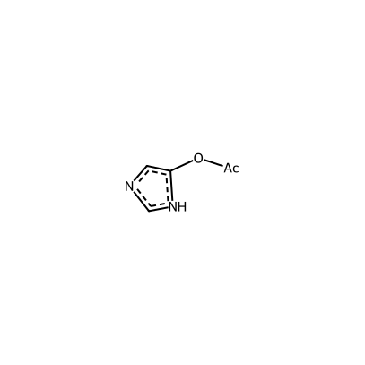 CC(=O)Oc1cnc[nH]1